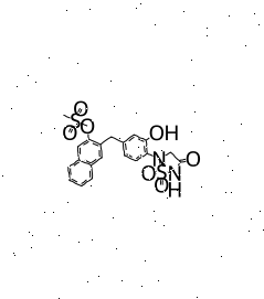 CS(=O)(=O)Oc1cc2ccccc2cc1Cc1ccc(N2CC(=O)NS2(=O)=O)c(O)c1